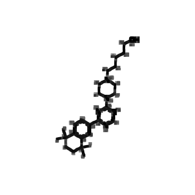 CC1(C)CCC(C)(C)c2cc(-c3ncnc(N4CCN(CCCCCO)CC4)n3)ccc21